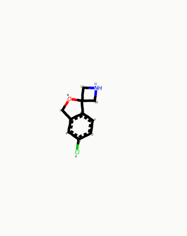 Clc1ccc2c(c1)COC21CNC1